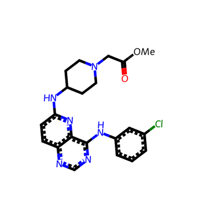 COC(=O)CN1CCC(Nc2ccc3ncnc(Nc4cccc(Cl)c4)c3n2)CC1